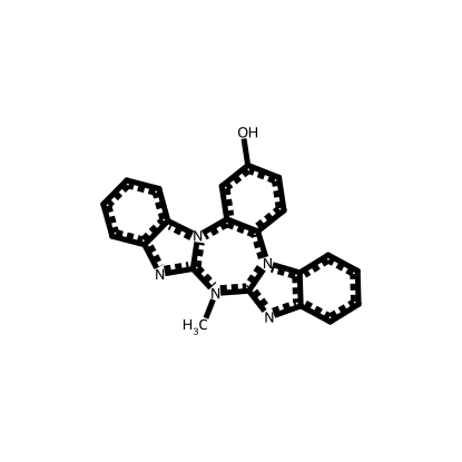 Cn1c2nc3ccccc3n2c2ccc(O)cc2n2c3ccccc3nc12